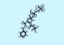 CN(C[C@@]1(F)C[C@@H](C(=O)OCc2ccccc2)N(C(=O)OC(C)(C)C)C1)C(=O)OCC(Cl)(Cl)Cl